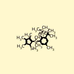 CC1=C(C)C([SiH3])C([Si](C)(C)c2cc(C)cc(C(C)(C)C)c2O[Si](C)(C)C)=C1C